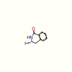 O=C1N[C@H](CI)Cc2ccccc21